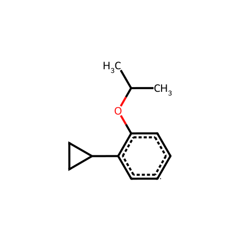 CC(C)Oc1cc[c]cc1C1CC1